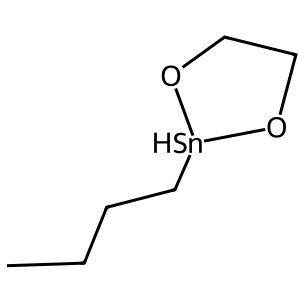 CCC[CH2][SnH]1[O]CC[O]1